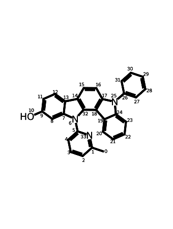 Cc1cccc(-n2c3cc(O)ccc3c3ccc4c(c5ccccc5n4-c4ccccc4)c32)n1